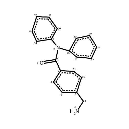 NCc1ccc(C(=O)N(c2cc[c]cc2)c2ccccc2)cc1